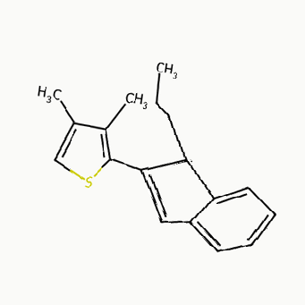 CCC[C]1C(c2scc(C)c2C)=Cc2ccccc21